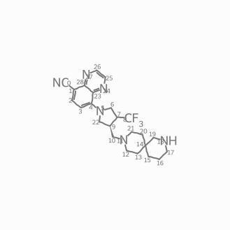 N#Cc1ccc(N2CC(C(F)(F)F)[C@@H](CN3CCC4(CCCNC4)CC3)C2)c2nccnc12